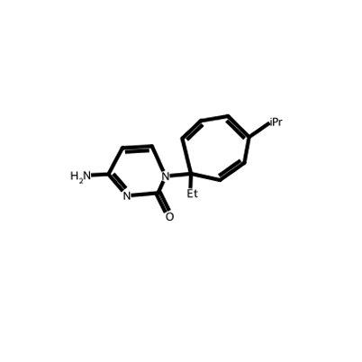 CCC1(n2ccc(N)nc2=O)C=CC=C(C(C)C)C=C1